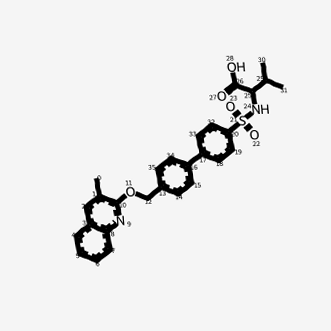 Cc1cc2ccccc2nc1OCc1ccc(-c2ccc(S(=O)(=O)NC(C(=O)O)C(C)C)cc2)cc1